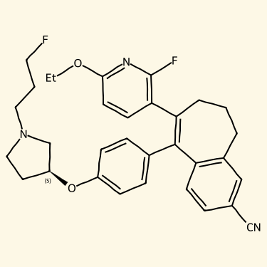 CCOc1ccc(C2=C(c3ccc(O[C@H]4CCN(CCCF)C4)cc3)c3ccc(C#N)cc3CCC2)c(F)n1